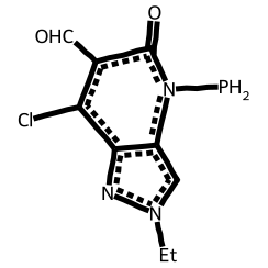 CCn1cc2c(n1)c(Cl)c(C=O)c(=O)n2P